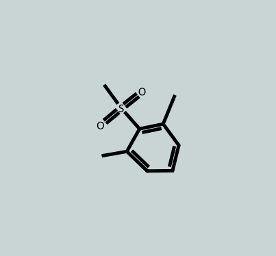 Cc1cccc(C)c1S(C)(=O)=O